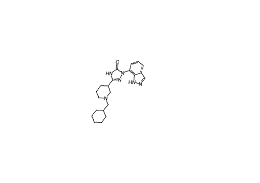 O=c1[nH]c(C2CCCN(CC3CCCCC3)C2)nn1-c1cccc2cn[nH]c12